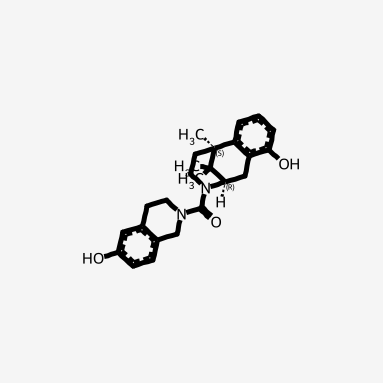 CC1(C)[C@H]2Cc3c(O)cccc3[C@]1(C)CCN2C(=O)N1CCc2cc(O)ccc2C1